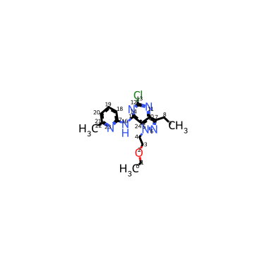 CCOCCn1nc(CC)c2nc(Cl)nc(Nc3cccc(C)n3)c21